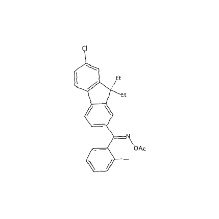 CCC1(CC)c2cc(Cl)ccc2-c2ccc(C(=NOC(C)=O)c3ccccc3C)cc21